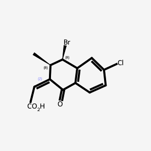 C[C@@H]1/C(=C/C(=O)O)C(=O)c2ccc(Cl)cc2[C@@H]1Br